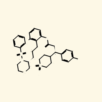 O=C(C[C@@H](c1ccc(Cl)cc1)C1CCS(=O)(=O)CC1)Nc1cccc(F)c1CCC[C@H]1CNCCN1S(=O)(=O)c1ccccc1